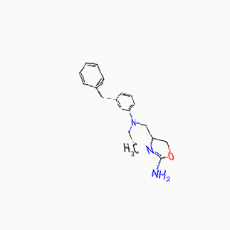 CCN(CC1COC(N)=N1)c1cccc(Cc2ccccc2)c1